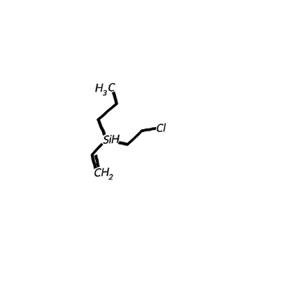 C=C[SiH](CCC)CCCl